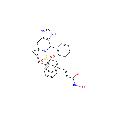 O=C(/C=C/c1ccc(/C=C2/CC23Cc2nc[nH]c2C(c2ccccc2)N3S(=O)(=O)c2ccccc2)cc1)NO